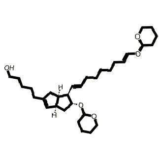 OCCCCCC1=C[C@@H]2C[C@@H](OC3CCCCO3)[C@H](C=CCCCCCC=COC3CCCCO3)[C@@H]2C1